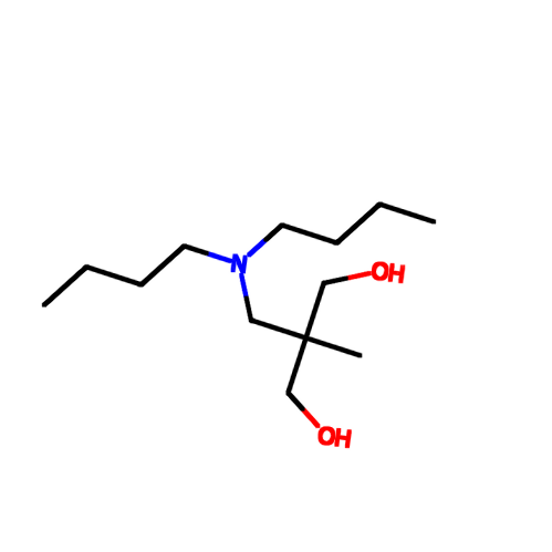 CCCCN(CCCC)CC(C)(CO)CO